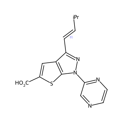 CC(C)/C=C/c1nn(-c2cnccn2)c2sc(C(=O)O)cc12